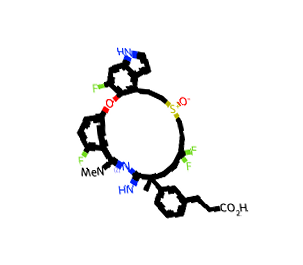 CN/C1=N\C(=N)C(C)(c2cccc(CCC(=O)O)c2)CCC(F)(F)CC[S+]([O-])CCc2c(c(F)cc3[nH]ccc23)Oc2ccc(F)c1c2